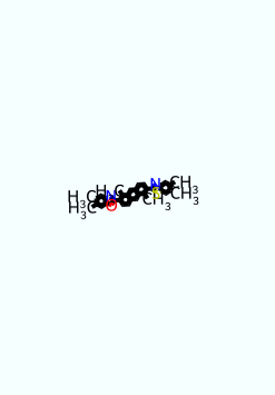 Cc1cc2nc(-c3ccc4cc5c(C)c(-c6nc7cc(C)c(C)cc7s6)ccc5cc4c3C)oc2cc1C